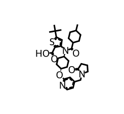 CC1CCC(C(=O)N(c2cc(C(C)(C)C)sc2C(=O)O)[C@H]2CC[C@H](Oc3cc(CN4CCCC4=O)ccn3)CC2)CC1